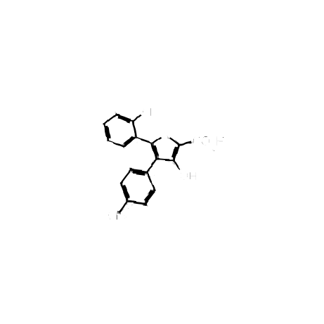 O=C(O)c1sc(-c2ccccc2Cl)c(-c2ccc(Cl)cc2)c1O